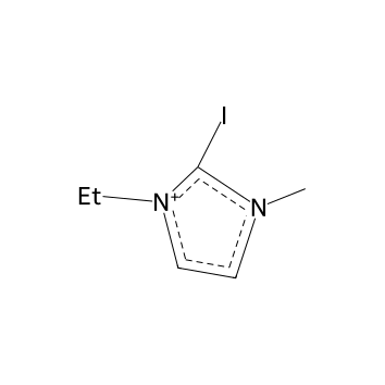 CC[n+]1ccn(C)c1I